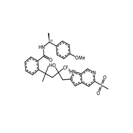 COc1ccc([C@H](C)NC(=O)c2ccccc2C(C)(C)CC(O)(Cc2cc3cc(S(C)(=O)=O)ncc3[nH]2)C(F)(F)F)cc1